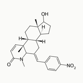 CN1C(=O)C=C[C@@]2(C)C1C(=Cc1ccc([N+](=O)[O-])cc1)C[C@@H]1[C@H]2CC[C@]2(C)C(O)CC[C@@H]12